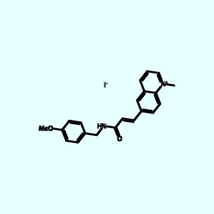 COc1ccc(CNC(=O)C=Cc2ccc3c(ccc[n+]3C)c2)cc1.[I-]